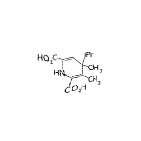 CC1=C(C(=O)O)NC(C(=O)O)=CC1(C)C(C)C